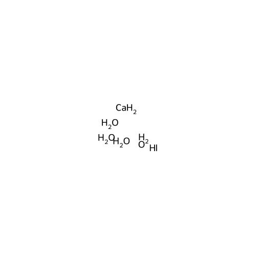 I.O.O.O.O.[CaH2]